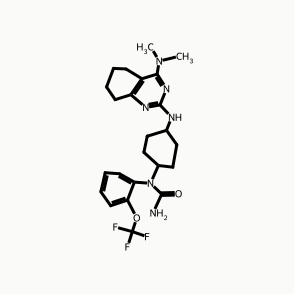 CN(C)c1nc(NC2CCC(N(C(N)=O)c3ccccc3OC(F)(F)F)CC2)nc2c1CCCC2